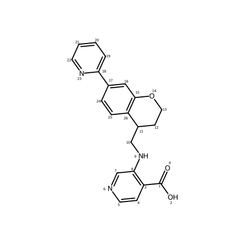 O=C(O)c1ccncc1NCC1CCOc2cc(-c3ccccn3)ccc21